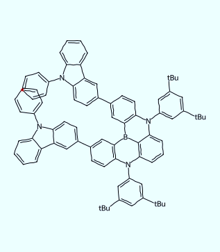 CC(C)(C)c1cc(N2c3ccc(-c4ccc5c(c4)c4ccccc4n5-c4ccccc4)cc3B3c4cc(-c5ccc6c(c5)c5ccccc5n6-c5ccccc5)ccc4N(c4cc(C(C)(C)C)cc(C(C)(C)C)c4)c4cccc2c43)cc(C(C)(C)C)c1